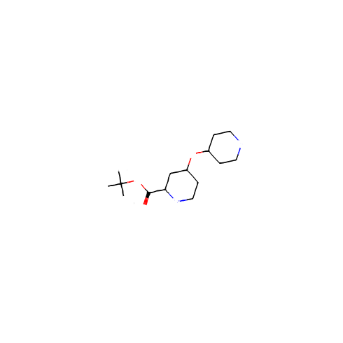 CC(C)(C)OC(=O)C1CC(OC2CCNCC2)CCN1